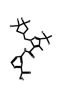 Cc1c(C(C)(F)F)nn(CC2CC(F)(F)C(F)(F)C2)c1C(=O)Nc1ccnc(C(N)=O)c1